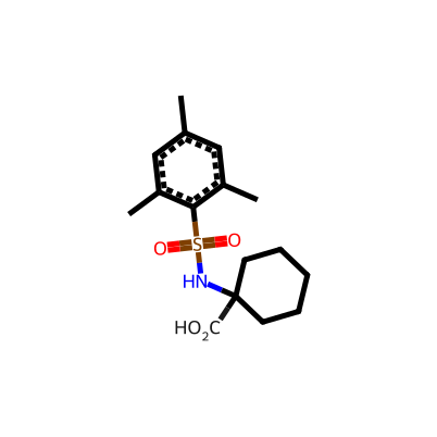 Cc1cc(C)c(S(=O)(=O)NC2(C(=O)O)CCCCC2)c(C)c1